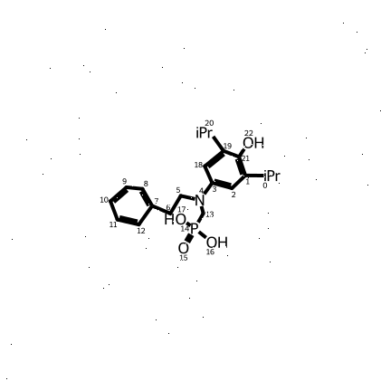 CC(C)c1cc(N(CCc2ccccc2)CP(=O)(O)O)cc(C(C)C)c1O